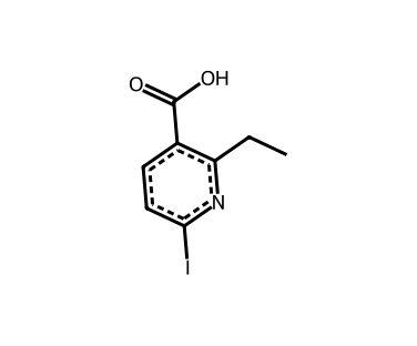 CCc1nc(I)ccc1C(=O)O